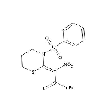 CCCC(=O)C(=C1SCCCN1S(=O)(=O)c1ccccc1)[N+](=O)[O-]